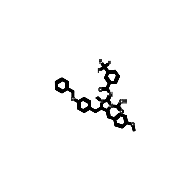 COc1ccc(/C=C2/C(Cc3ccc(OCc4ccccc4)cc3)N(C)/C(=N\C(=O)c3cccc(C(F)(F)F)c3)N2C(=O)O)cc1